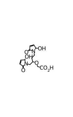 O=C(O)COC(CCN1C(=O)C=CC1O)CN1C(=O)C=CC1O